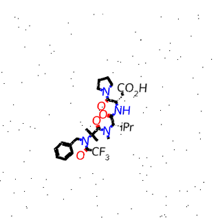 CC(C)[C@@H](C(=O)N[C@@H](CC(=O)O)C(=O)N1CCCC1)N(C)C(=O)C(C)(C)N(Cc1ccccc1)C(=O)C(F)(F)F